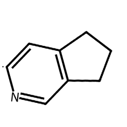 [c]1cc2c(cn1)CCC2